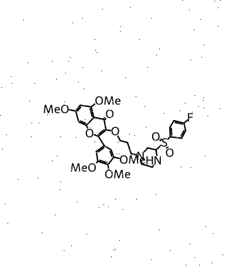 COc1cc(OC)c2c(=O)c(OCCCN3CCNC(S(=O)(=O)c4ccc(F)cc4)C3)c(-c3cc(OC)c(OC)c(OC)c3)oc2c1